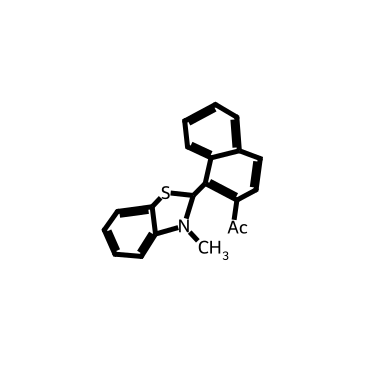 CC(=O)c1ccc2ccccc2c1C1Sc2ccccc2N1C